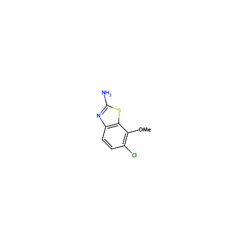 COc1c(Cl)ccc2nc(N)sc12